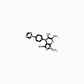 CC(C)c1nn(C)c2c1C(c1ccc(-n3cncn3)cc1)C(C#N)=C(N)O2